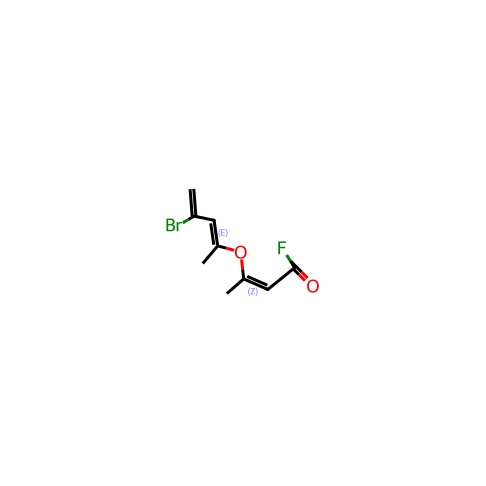 C=C(Br)/C=C(\C)O/C(C)=C\C(=O)F